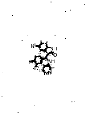 O=C1Nc2ccc(Br)cc2/C1=C(/Nc1ccnnc1)c1ccc(F)c(F)c1